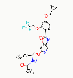 CC(=O)N[C@@H](C)COc1cc2oc(-c3ccc(OCC4CC4)cc3OCC(F)(F)F)nc2cn1